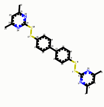 Cc1cc(C)nc(SSc2ccc(-c3ccc(SSc4nc(C)cc(C)n4)cc3)cc2)n1